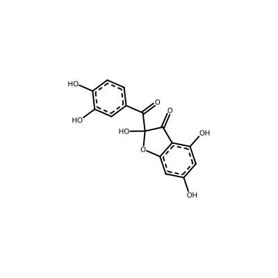 O=C(c1ccc(O)c(O)c1)C1(O)Oc2cc(O)cc(O)c2C1=O